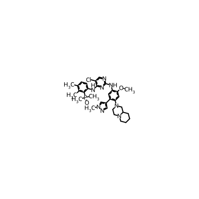 COc1cc(N2CCN3CCCCC3C2)c(-c2cnn(C)c2)cc1Nc1ncc(Cl)c(Nc2ccc(C)c(C)c2P(C)(C)=O)n1